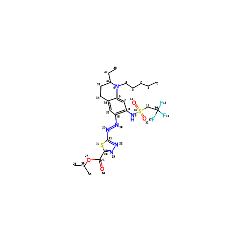 CCCCCN1c2cc(NS(=O)(=O)CC(F)(F)F)c(N=Nc3nnc(C(=O)OC(C)C)s3)cc2CCC1CC